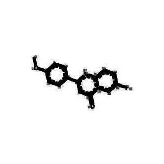 COc1ccc(-c2cc(=O)n3cc(F)ccc3n2)cc1